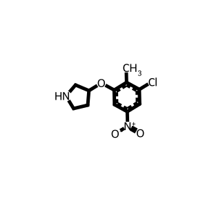 Cc1c(Cl)cc([N+](=O)[O-])cc1OC1CCNC1